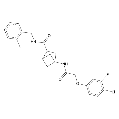 Cc1ccccc1CNC(=O)C1CC2(NC(=O)COc3ccc(Cl)c(F)c3)CC1C2